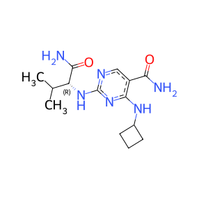 CC(C)[C@@H](Nc1ncc(C(N)=O)c(NC2CCC2)n1)C(N)=O